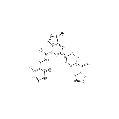 Cc1cc(C)c(CNC(O)c2cc(C3CCN(C(=O)C4CCNC4)CC3)nc3c2cnn3C(C)C)c(=O)[nH]1